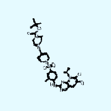 Cc1cc(S(=O)(=O)N2CCC(N3CCN(C(=O)OC(C)(C)C)CC3)CC2)ccc1Nc1ncc2cc(Cl)c(=O)n(C(C)C)c2n1